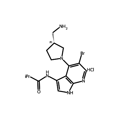 CC(C)C(=O)Nc1c[nH]c2ncc(Br)c(N3CC[C@H](CN)C3)c12.Cl